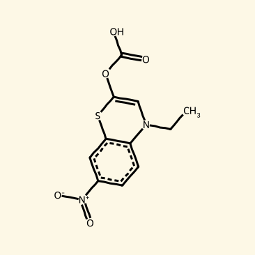 CCN1C=C(OC(=O)O)Sc2cc([N+](=O)[O-])ccc21